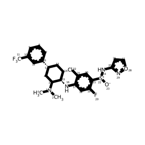 CN(C)C1C[C@H](c2cccc(C(F)(F)F)c2)CC[C@@H]1Nc1cc(F)c([S+]([O-])Nc2ccon2)cc1Cl